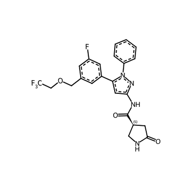 O=C1C[C@H](C(=O)Nc2cc(-c3cc(F)cc(COCC(F)(F)F)c3)n(-c3ccccc3)n2)CN1